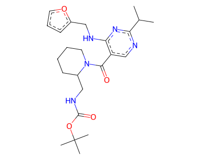 CC(C)c1ncc(C(=O)N2CCCCC2CNC(=O)OC(C)(C)C)c(NCc2ccco2)n1